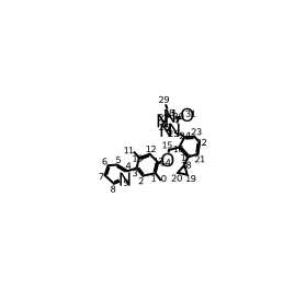 Cc1cc(-c2ccccn2)c(C)cc1OCc1c(C2CC2)cccc1-n1nnn(C)c1=O